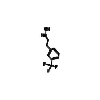 ONCCc1cccc(C(F)(F)F)c1